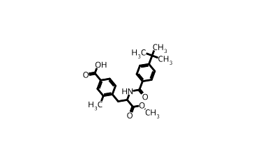 COC(=O)C(Cc1ccc(C(=O)O)cc1C)NC(=O)c1ccc(C(C)(C)C)cc1